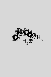 COc1cc2c(cc1OC)CCC(N(C=O)OC(=O)c1ccccc1)=C2